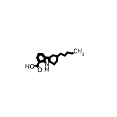 CCCCCC1CCc2[nH]c3c(C(=O)O)cccc3c2C1